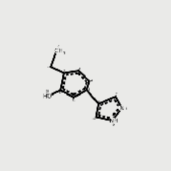 CCc1ccc(-c2cn[nH]c2)cc1O